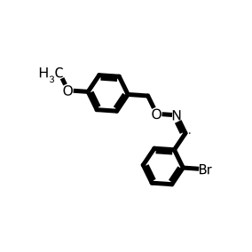 COc1ccc(CO/N=[C]\c2ccccc2Br)cc1